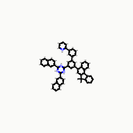 CC1(C)c2ccccc2-c2c1cc(-c1cc(-c3cccc(-c4ccccn4)c3)cc(-c3nc(-c4ccc5ccccc5c4)nc(-c4ccc5ccccc5c4)n3)c1)c1ccccc21